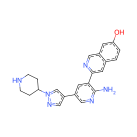 Nc1ncc(-c2cnn(C3CCNCC3)c2)cc1-c1cc2ccc(O)cc2cn1